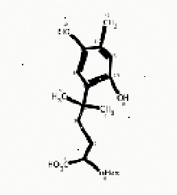 CCCCCCC(CCC(C)(C)c1cc(O)c(C)cc1O)C(=O)O